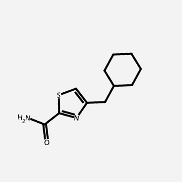 NC(=O)c1nc(CC2CCCCC2)cs1